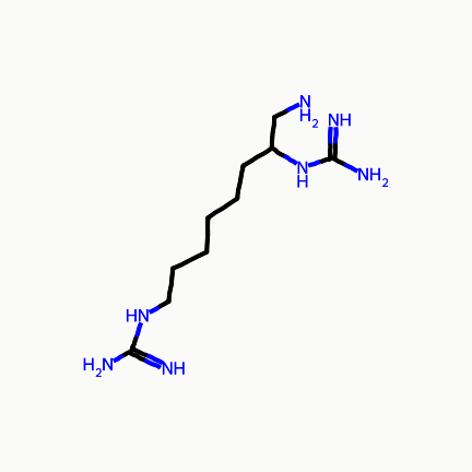 N=C(N)NCCCCCCC(CN)NC(=N)N